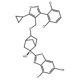 N#Cc1cc(F)c2nc([C@]3(O)CC4CC3CC4OCc3c(-c4c(Cl)cccc4Cl)noc3C3CC3)sc2c1